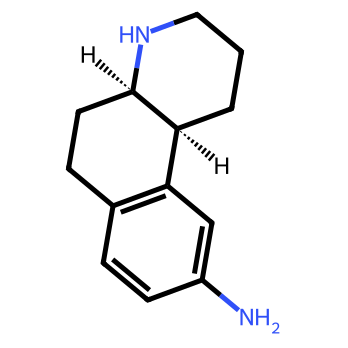 Nc1ccc2c(c1)[C@@H]1CCCN[C@@H]1CC2